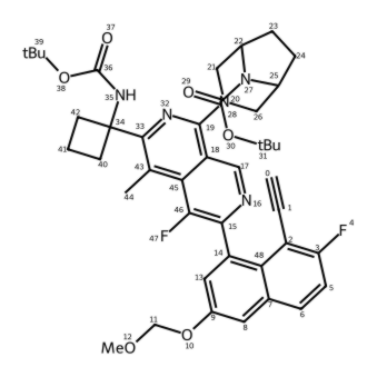 C#Cc1c(F)ccc2cc(OCOC)cc(-c3ncc4c(N5CC6CCC(C5)N6C(=O)OC(C)(C)C)nc(C5(NC(=O)OC(C)(C)C)CCC5)c(C)c4c3F)c12